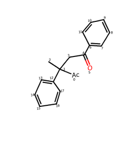 CC(=O)C(C)(CC(=O)c1ccccc1)c1ccccc1